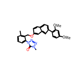 COc1ccc(-c2ccc3ccc(OCc4c(C)cccc4-n4nnn(C)c4=O)cc3c2)c(OC)c1